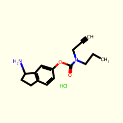 C#CCN(CCC)C(=O)Oc1ccc2c(c1)C(N)CC2.Cl